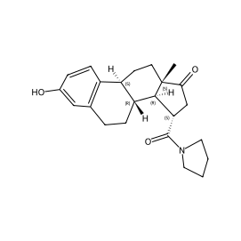 C[C@]12CC[C@@H]3c4ccc(O)cc4CC[C@H]3[C@@H]1[C@@H](C(=O)N1CCCC1)CC2=O